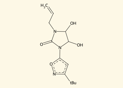 C=CCN1C(=O)N(c2cc(C(C)(C)C)no2)C(O)C1O